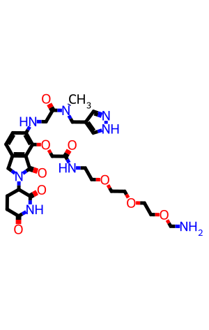 CN(Cc1cn[nH]c1)C(=O)CNc1ccc2c(c1OCC(=O)NCCOCCOCCOCN)C(=O)N(C1CCC(=O)NC1=O)C2